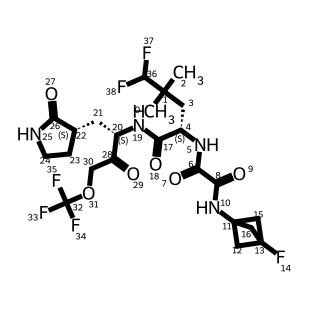 CC(C)(C[C@H](NC(=O)C(=O)NC12CC(F)(C1)C2)C(=O)N[C@@H](C[C@@H]1CCNC1=O)C(=O)COC(F)(F)F)C(F)F